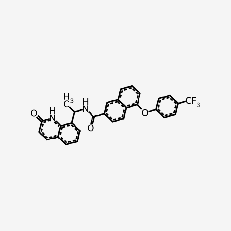 CC(NC(=O)c1ccc2c(Oc3ccc(C(F)(F)F)cc3)cccc2c1)c1cccc2ccc(=O)[nH]c12